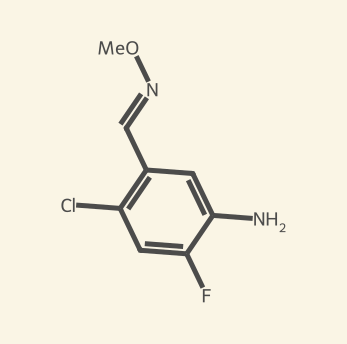 CO/N=C/c1cc(N)c(F)cc1Cl